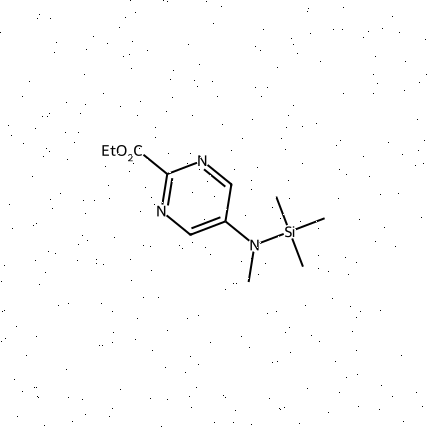 CCOC(=O)c1ncc(N(C)[Si](C)(C)C)cn1